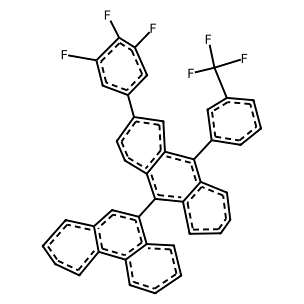 Fc1cc(-c2ccc3c(-c4cc5ccccc5c5ccccc45)c4ccccc4c(-c4cccc(C(F)(F)F)c4)c3c2)cc(F)c1F